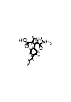 CCCc1ccc(-c2c(C(=O)O)c[nH]c2C(N)=O)cc1